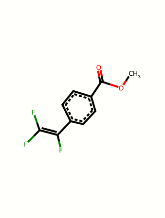 COC(=O)c1ccc(C(F)=C(F)F)cc1